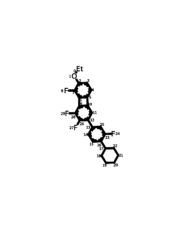 CCOc1ccc2c(c1F)-c1c-2cc(-c2ccc(C3CCCCC3)c(F)c2)c(F)c1F